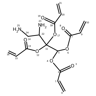 C=CC(=O)OC(OC(=O)C=C)C(OC(=O)C=C)(OC(=O)C=C)C(N)CN